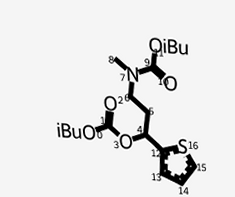 CC(C)COC(=O)OC(CCN(C)C(=O)OCC(C)C)c1cccs1